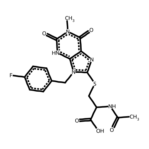 CC(=O)NC(CSc1nc2c(=O)n(C)c(=O)[nH]c2n1Cc1ccc(F)cc1)C(=O)O